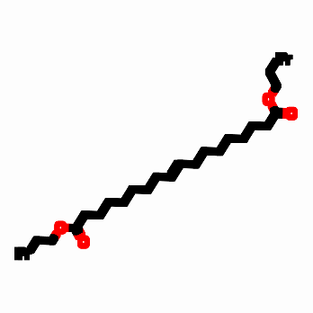 CC(C)CCOC(=O)CCCCCCCC=CCCCCCCCC(=O)OCCC(C)C